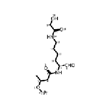 CCCOC(C)CC(=O)N[C@H](C=O)CCCCNC(=O)CO